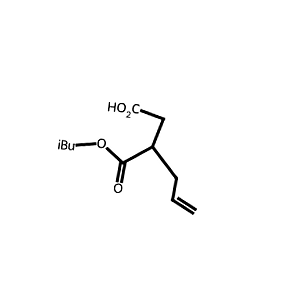 C=CCC(CC(=O)O)C(=O)OC(C)CC